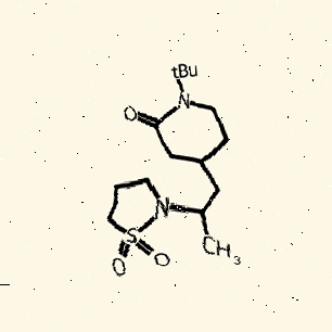 CC(CC1CCN(C(C)(C)C)C(=O)C1)N1CCCS1(=O)=O